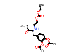 CCC(C)COC(=O)OCCN[C@@H](Cc1ccc(OC(=O)C(C)C)c(OC(=O)C(C)C)c1)C(=O)OC